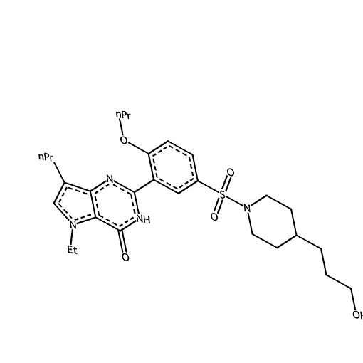 CCCOc1ccc(S(=O)(=O)N2CCC(CCCO)CC2)cc1-c1nc2c(CCC)cn(CC)c2c(=O)[nH]1